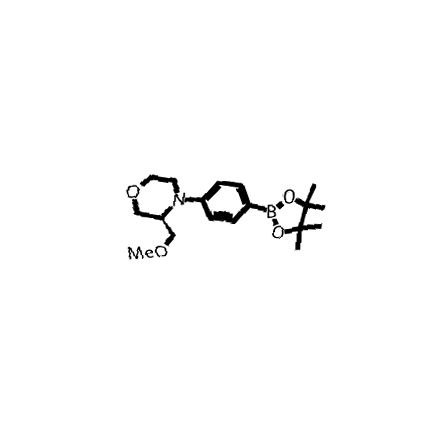 COC[C@H]1COCCN1c1ccc(B2OC(C)(C)C(C)(C)O2)cc1